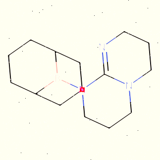 C1CC2CCCC(C1)B2N1CCCN2CCCN=C21